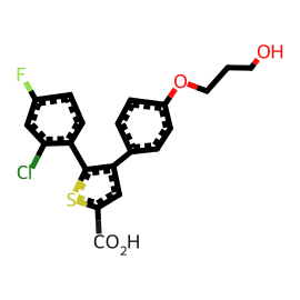 O=C(O)c1cc(-c2ccc(OCCCO)cc2)c(-c2ccc(F)cc2Cl)s1